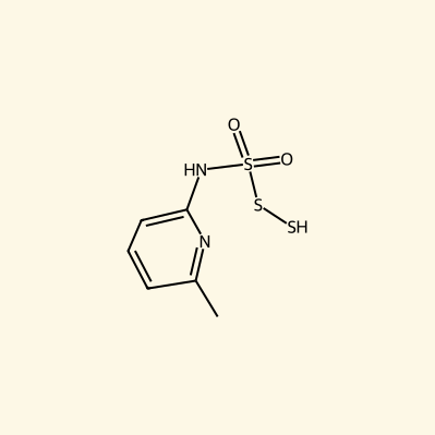 Cc1cccc(NS(=O)(=O)SS)n1